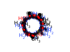 CCCC[C@H]1C(=O)N(C)[C@@H](CCCC)C(=O)N[C@@H](CCCNC(=N)N)C(=O)N[C@H](C(=O)NCC(N)=O)CSCC(=O)N[C@@H](Cc2cccc(C)c2)C(=O)N(C)[C@@H](C)C(=O)NC(CC(N)=O)C(=O)N2CCC[C@H]2C(=O)N[C@@H](CN)C(=O)N[C@@H](CC(C)C)C(=O)N2C[C@H](O)CC2C(=O)N[C@@H](Cc2c[nH]c3ccccc23)C(=O)N[C@@H](CO)C(=O)N[C@@H](Cc2c[nH]c3ccccc23)C(=O)N1C